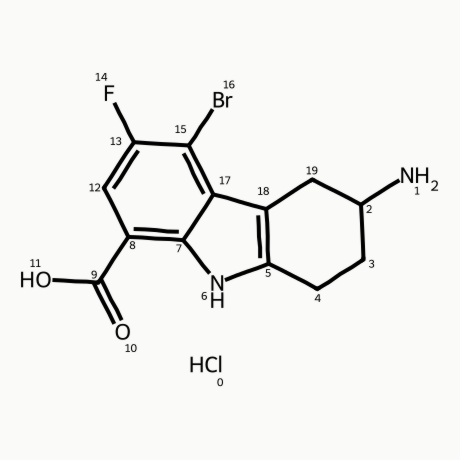 Cl.NC1CCc2[nH]c3c(C(=O)O)cc(F)c(Br)c3c2C1